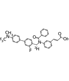 [2H][C@H](c1ccc(-c2ccc(N(C)C)cc2)cc1F)N(C(=O)c1ccccc1)c1cccc(/C=C/C(=O)O)c1